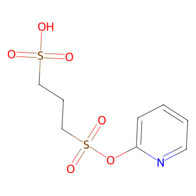 O=S(=O)(O)CCCS(=O)(=O)Oc1ccccn1